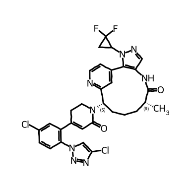 C[C@@H]1CCC[C@H](N2CCC(c3cc(Cl)ccc3-n3cc(Cl)nn3)=CC2=O)c2cc(ccn2)-c2c(cnn2C2CC2(F)F)NC1=O